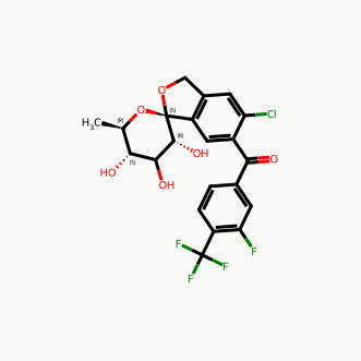 C[C@H]1O[C@]2(OCc3cc(Cl)c(C(=O)c4ccc(C(F)(F)F)c(F)c4)cc32)[C@H](O)C(O)[C@@H]1O